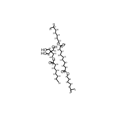 CC(C)CCCCCOC(=O)CCCCCCCCC(=O)OCCCCCC(C)C.CCCCCCCC(=O)OCCC(CO)(CO)CO